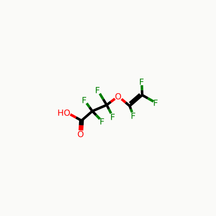 O=C(O)C(F)(F)C(F)(F)OC(F)=C(F)F